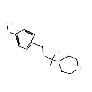 COc1ccc(CSC(C)(C)N2CCNCC2)cc1